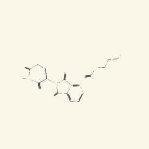 O=C1CCC(N2C(=O)c3cccc(/N=C/OC[C@H](O)CO)c3C2=O)C(=O)N1